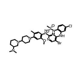 COc1cc(N2CCC(N3CCCC(N(C)C)C3)CC2)c(C)cc1Nc1ncc(Br)c(Nc2cc(Cl)ccc2NS(C)(=O)=O)n1